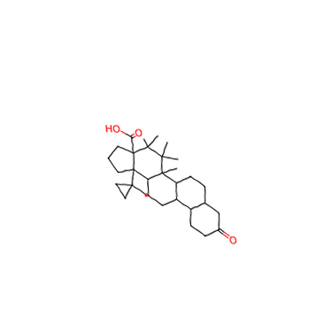 CC1(C23CCCC2(C(=O)O)C(C)(C)C(C)(C)C2(C)C4CCC5CC(=O)CCC5C4CCC23)CC1